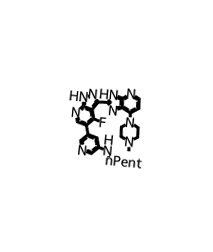 CCCCCNc1cncc(-c2cnc3[nH]nc(-c4nc5c(N6CCN(C)CC6)ccnc5[nH]4)c3c2F)c1